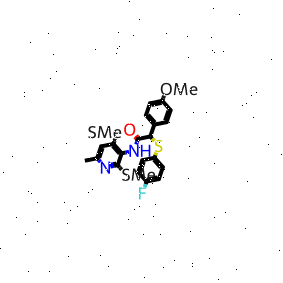 COc1ccc(C(Sc2ccc(F)cc2)C(=O)Nc2c(SC)cc(C)nc2SC)cc1